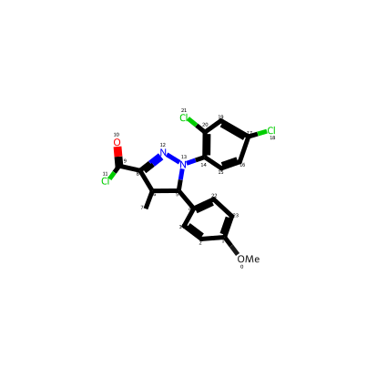 COc1ccc(C2C(C)C(C(=O)Cl)=NN2c2ccc(Cl)cc2Cl)cc1